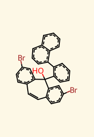 OC1(c2ccccc2-c2cccc3ccccc23)c2cc(Br)ccc2C=Cc2ccc(Br)cc21